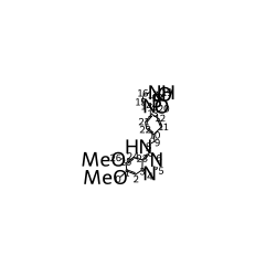 COc1cc2ncnc(NCc3ccc(N4CCNS4(=O)=O)cc3)c2cc1OC